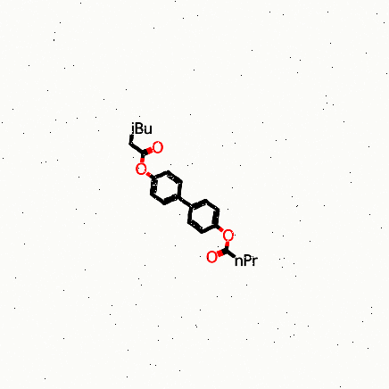 CCCC(=O)Oc1ccc(-c2ccc(OC(=O)CC(C)CC)cc2)cc1